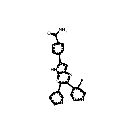 NC(=O)c1ccc(-c2cc3nc(-c4ccncc4F)c(-c4cccnc4)nc3[nH]2)cc1